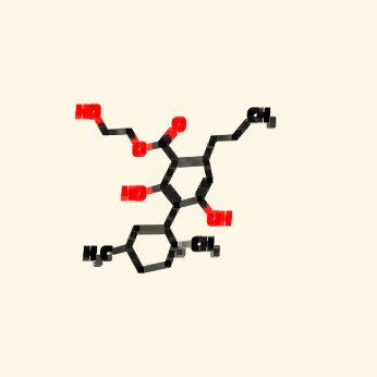 CCCc1cc(O)c(C2=CC(C)CC[C@H]2C)c(O)c1C(=O)OCCO